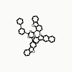 c1ccc(-c2cccc(-c3nc(-c4ccc5oc6ccccc6c5c4)nc(-c4c(-n5c6ccccc6c6cc7ccccc7cc65)ccc5c4oc4ccccc45)n3)c2)cc1